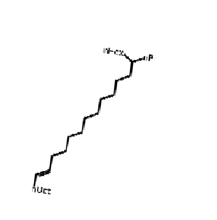 [CH2]CCCCCCCC=CCCCCCCCCCCC(CCC)CCCCC[CH2]